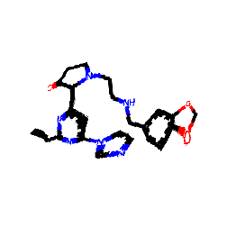 C=Cc1nc(C2C(=O)CCN2CCNCc2ccc3c(c2)OCO3)cc(-n2ccnc2)n1